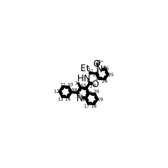 CCC(NC(=O)c1c(C)c(-c2ccccc2)nc2ccccc12)c1cccc[n+]1[O-]